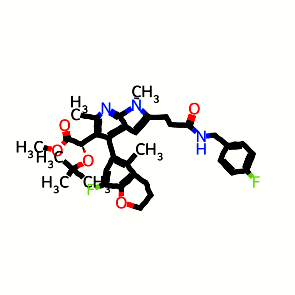 COC(=O)[C@@H](OC(C)(C)C)c1c(C)nc2c(cc(CCC(=O)NCc3ccc(F)cc3)n2C)c1-c1cc(F)c2c(c1C)CCCO2